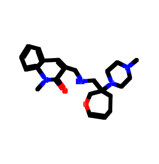 CN1CCN(C2(CNCc3cc4ccccc4n(C)c3=O)CCC=COC2)CC1